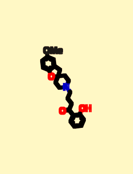 COc1ccc2c(c1)CC1(CCN(CCCC(=O)c3ccccc3O)CC1)O2